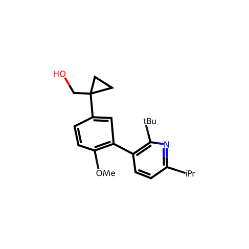 COc1ccc(C2(CO)CC2)cc1-c1ccc(C(C)C)nc1C(C)(C)C